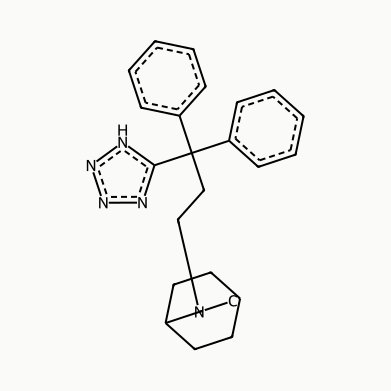 c1ccc(C(CCN2CC3CCC(CC3)C2)(c2ccccc2)c2nnn[nH]2)cc1